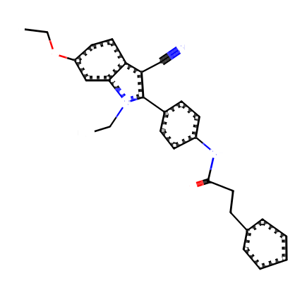 CCOc1ccc2c(C#N)c(-c3ccc(NC(=O)CCc4ccccc4)cc3)n(CC)c2c1